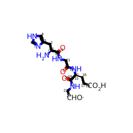 N[C@@H](Cc1c[nH]cn1)C(=O)NCC(=O)N[C@@H](CCC(=O)O)C(=O)NC[C]=O